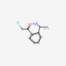 CC(N)c1ccccc1C(=O)CF